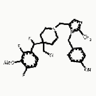 COc1c(F)ccc(C(F)C2(CO)CCN(Cc3cnc(C)n3Cc3ccc(C#N)cc3)CC2)c1F